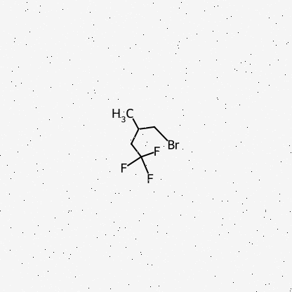 CC(CBr)CC(F)(F)F